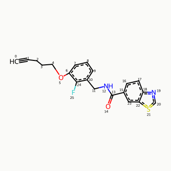 C#CCCCOc1cccc(CNC(=O)c2ccc3ncsc3c2)c1F